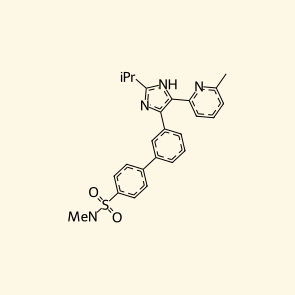 CNS(=O)(=O)c1ccc(-c2cccc(-c3nc(C(C)C)[nH]c3-c3cccc(C)n3)c2)cc1